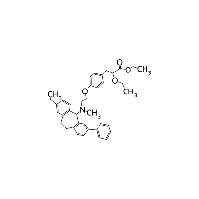 CCOC(=O)C(Cc1ccc(OCCN(C)C2c3ccc(CC)cc3CCc3ccc(-c4ccccc4)cc32)cc1)OCC